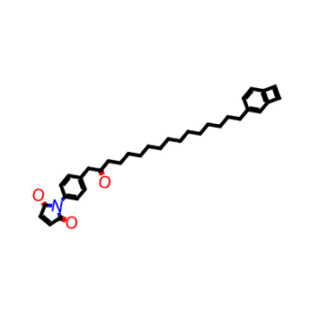 O=C(CCCCCCCCCCCCCCc1ccc2c(c1)C=C2)Cc1ccc(N2C(=O)C=CC2=O)cc1